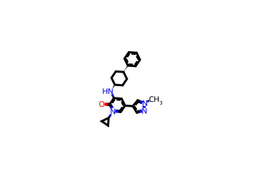 Cn1cc(-c2cc(N[C@H]3CC[C@@H](c4ccccc4)CC3)c(=O)n(C3CC3)c2)cn1